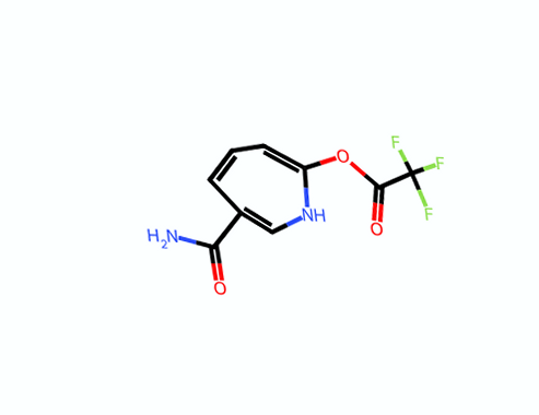 NC(=O)C1=CNC(OC(=O)C(F)(F)F)=CC=C1